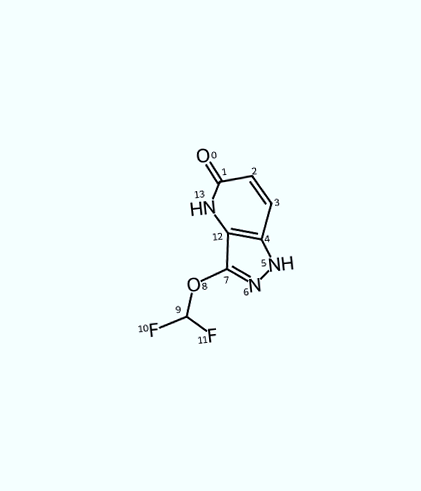 O=c1ccc2[nH]nc(OC(F)F)c2[nH]1